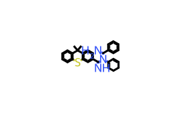 CC1(C)c2ccccc2Sc2cc(C(=N)N(C3=CCCC=C3)C(N)c3ccccc3)ccc21